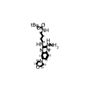 CC(C)(C)OC(=O)NCCCCNc1nc2cc(N3CCOCC3)ccc2nc1NN